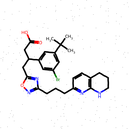 CC(C)(C)c1cc(Br)cc(C(CC(=O)O)Cc2nc(CCCc3ccc4c(n3)NCCC4)no2)c1